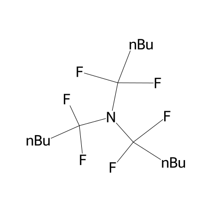 CCCCC(F)(F)N(C(F)(F)CCCC)C(F)(F)CCCC